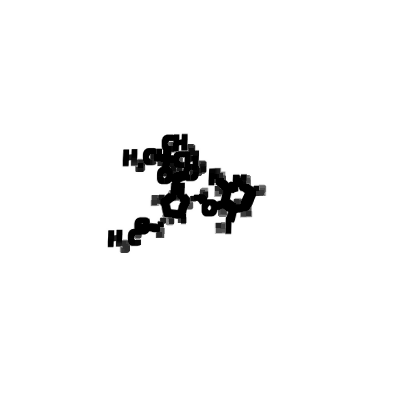 COC[C@H]1C[C@@H](COc2c(I)ccnc2F)N(C(=O)OC(C)(C)C)C1